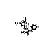 CC(C)CC(NCC=O)C(=O)NC(Cc1ccccc1)C(=O)O